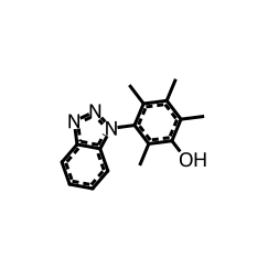 Cc1c(C)c(O)c(C)c(-n2nnc3ccccc32)c1C